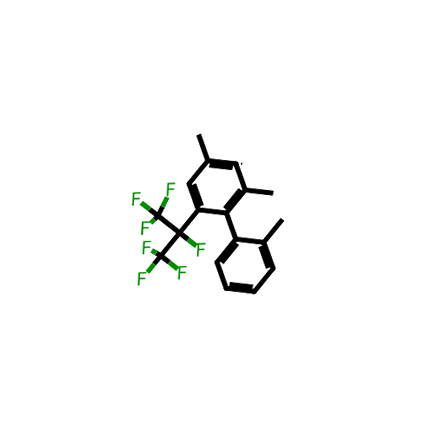 Cc1[c]c(C)c(-c2ccccc2C)c(C(F)(C(F)(F)F)C(F)(F)F)c1